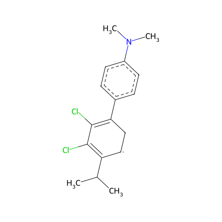 CC(C)C1=C(Cl)C(Cl)=C(c2ccc(N(C)C)cc2)C[CH]1